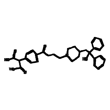 O=C(CCCN1CCC(CC(O)(c2ccccc2)c2ccccc2)CC1)c1ccc(C(C(=O)O)C(=O)O)cc1